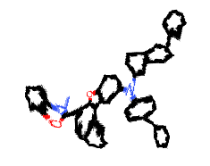 c1ccc(-c2ccc(N(c3ccc4cc(-c5ccccc5)ccc4c3)c3ccc4oc5c(-c6nc7ccccc7o6)cc6ccccc6c5c4c3)cc2)cc1